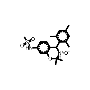 Cc1cc(C)c(C2c3ccc(NS(C)(=O)=O)cc3OC(C)(C)[NH+]2[O-])c(C)c1